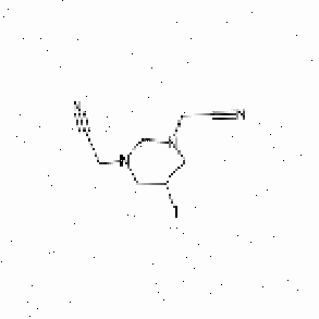 N#CCN1CC(I)CN(CC#N)C1